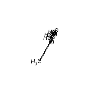 CCCCCCCCCCCCCCCCCC(=O)OCC1OC(n2ncc(=O)[nH]c2=O)C(O)C1O